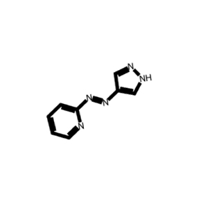 c1ccc(/N=N/c2cn[nH]c2)nc1